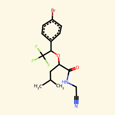 CC(C)CC(OC(c1ccc(Br)cc1)C(F)(F)F)C(=O)NCC#N